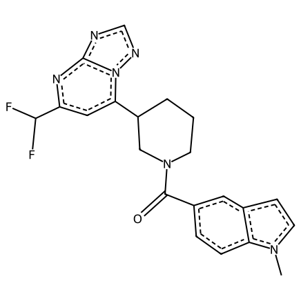 Cn1ccc2cc(C(=O)N3CCCC(c4cc(C(F)F)nc5ncnn45)C3)ccc21